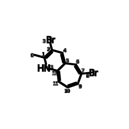 CC1=C(Br)C=C2C=C(Br)C=CC=C2N1